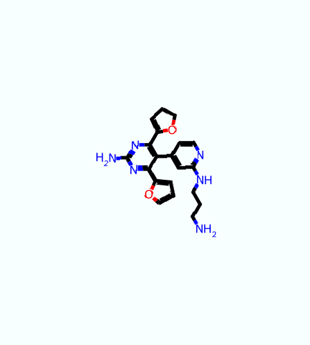 NCCCNc1cc(-c2c(C3=CCCO3)nc(N)nc2-c2ccco2)ccn1